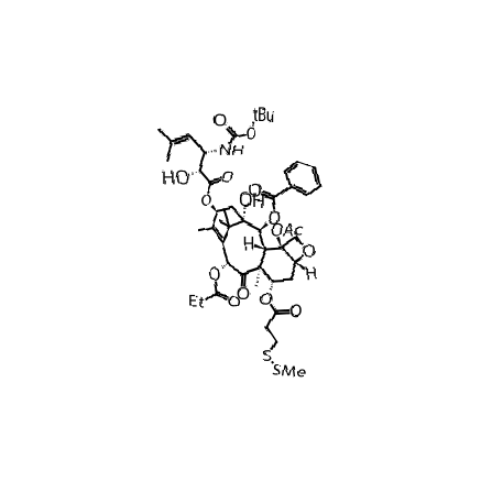 CCC(=O)O[C@H]1C(=O)[C@]2(C)[C@@H](OC(=O)CCSSC)C[C@H]3OC[C@@]3(OC(C)=O)[C@H]2[C@H](OC(=O)c2ccccc2)[C@]2(O)C[C@H](OC(=O)[C@H](O)[C@H](C=C(C)C)NC(=O)OC(C)(C)C)C(C)=C1C2(C)C